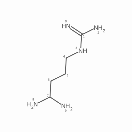 N=C(N)NCCCC(N)N